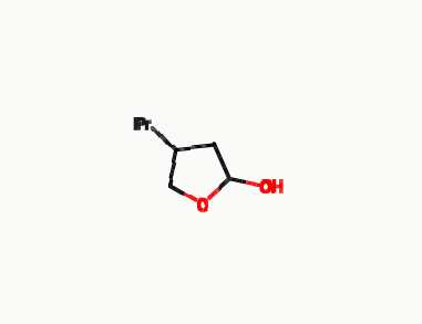 CC(C)C1COC(O)C1